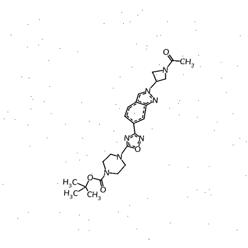 CC(=O)N1CC(n2cc3ccc(-c4noc(N5CCN(C(=O)OC(C)(C)C)CC5)n4)cc3n2)C1